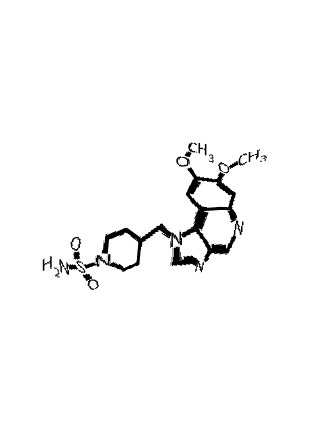 COc1cc2ncc3ncn(CC4CCN(S(N)(=O)=O)CC4)c3c2cc1OC